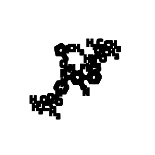 CN1CCCC1COc1nc(N2CCN(C(=O)OC(C)(C)C)CC2)c2cc(C#N)c(-c3cccc4sc(NC(=O)OC(C)(C)C)nc34)c(F)c2n1